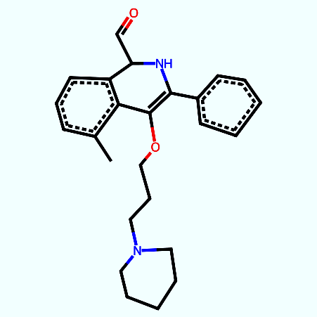 Cc1cccc2c1C(OCCCN1CCCCC1)=C(c1ccccc1)NC2C=O